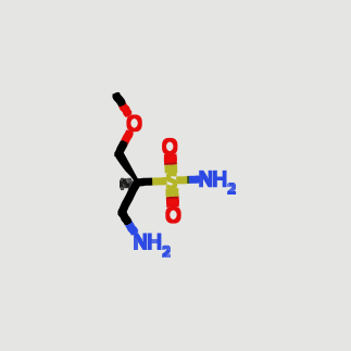 COC[C@H](CN)S(N)(=O)=O